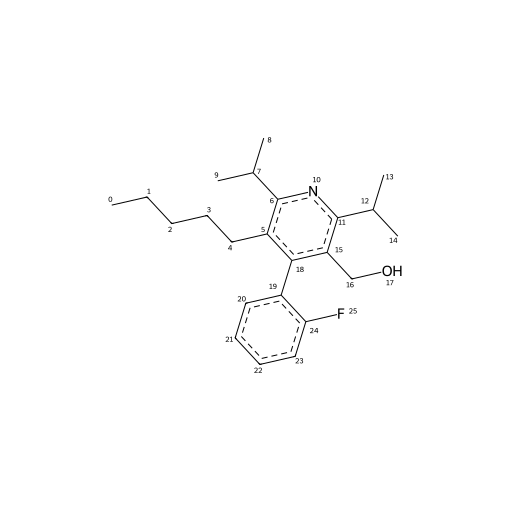 CCCCCc1c(C(C)C)nc(C(C)C)c(CO)c1-c1ccccc1F